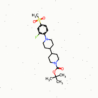 CC(C)(C)OC(=O)N1CCC(C2CCN(c3ccc(S(C)(=O)=O)cc3F)CC2)CC1